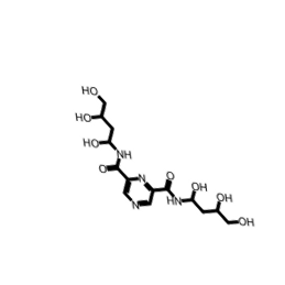 O=C(NC(O)CC(O)CO)c1cncc(C(=O)NC(O)CC(O)CO)n1